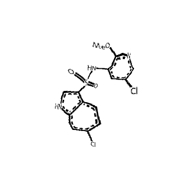 COc1ncc(Cl)cc1NS(=O)(=O)c1c[nH]c2cc(Cl)ccc12